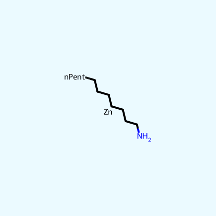 CCCCCCCCCCCCN.[Zn]